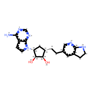 Nc1ncnc2c1ccn2[C@@H]1C[C@H](CCc2cnc3c(c2)CCN3)[C@@H](O)[C@H]1O